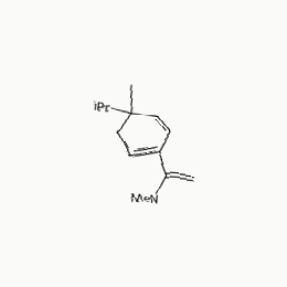 C=C(NC)C1=CCC(C)(C(C)C)C=C1